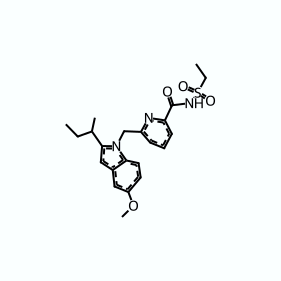 CCC(C)c1cc2cc(OC)ccc2n1Cc1cccc(C(=O)NS(=O)(=O)CC)n1